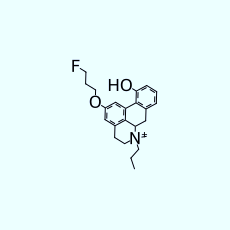 CCC[N+]1(C)CCc2cc(OCCCF)cc3c2C1Cc1cccc(O)c1-3